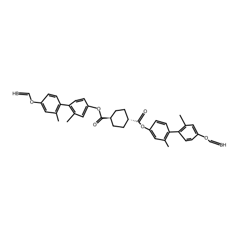 B=COc1ccc(-c2ccc(OC(=O)[C@H]3CC[C@H](C(=O)Oc4ccc(-c5ccc(OC=B)cc5C)c(C)c4)CC3)cc2C)c(C)c1